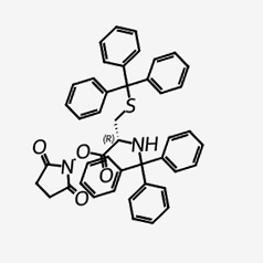 O=C(ON1C(=O)CCC1=O)[C@H](CSC(c1ccccc1)(c1ccccc1)c1ccccc1)NC(c1ccccc1)(c1ccccc1)c1ccccc1